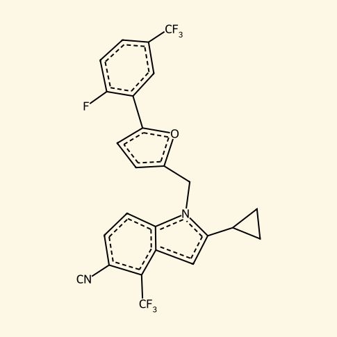 [C-]#[N+]c1ccc2c(cc(C3CC3)n2Cc2ccc(-c3cc(C(F)(F)F)ccc3F)o2)c1C(F)(F)F